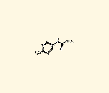 [CH2]C(=O)NC(=O)Nc1cnc(C(F)(F)F)nc1